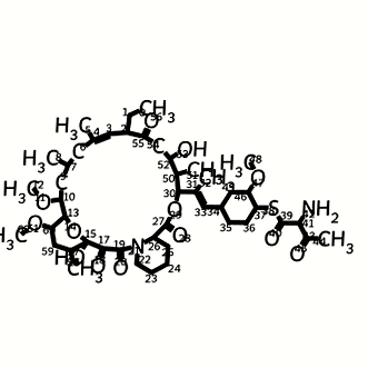 CCC1/C=C(/C)CC(C)CC(OC)C2OC(O)(C(=O)C(=O)N3CCCCC3C(=O)OC(/C(C)=C/C3CCC(SC(=O)C(N)C(C)=O)C(OC)C3)C(C)C(O)CC1=O)C(C)CC2OC